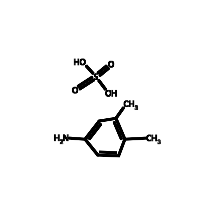 Cc1ccc(N)cc1C.O=S(=O)(O)O